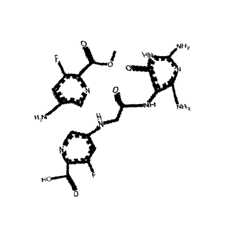 COC(=O)c1ncc(N)cc1F.Nc1nc(N)c(NC(=O)CNc2cnc(C(=O)O)c(F)c2)c(=O)[nH]1